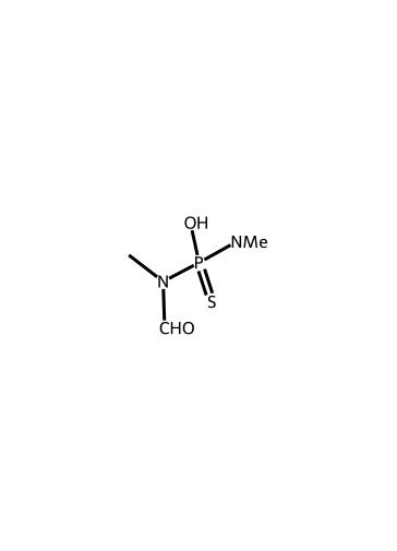 CNP(O)(=S)N(C)C=O